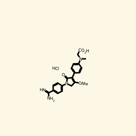 COC1=C(c2ccc(N(C)CC(=O)O)cc2)C(=O)N(c2ccc(C(=N)N)cc2)C1.Cl